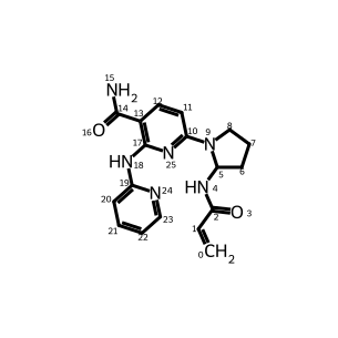 C=CC(=O)NC1CCCN1c1ccc(C(N)=O)c(Nc2ccccn2)n1